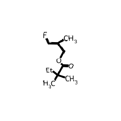 CCC(C)(C)C(=O)OCC(C)CF